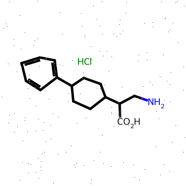 Cl.NCC(C(=O)O)C1CCC(c2ccccc2)CC1